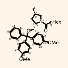 CCCCCCC(=O)N1C[C@H](C)C[C@H]1COC(c1ccccc1)(c1ccc(OC)cc1)c1ccc(OC)cc1